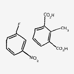 Cc1c(C(=O)O)cccc1C(=O)O.O=[N+]([O-])c1cccc(F)c1